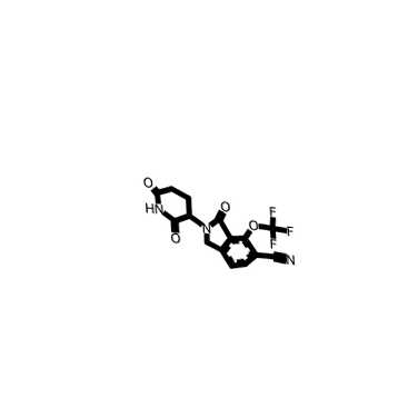 N#Cc1ccc2c(c1OC(F)(F)F)C(=O)N(C1CCC(=O)NC1=O)C2